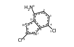 Nc1ccc(Cl)c2nc(Cl)sc12